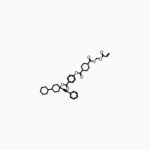 C=CC(=O)OCOC(=O)C1CCC(C(=O)Oc2ccc(C(=O)OC3(C#Cc4ccccc4)CCC(C4CCCCC4)CC3)cc2)CC1